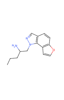 CCCC(N)Cn1ncc2ccc3occc3c21